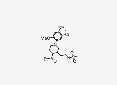 CCC(=O)C1CCN(c2cc(Cl)c(N)cc2OC)CC1CCNS(C)(=O)=O